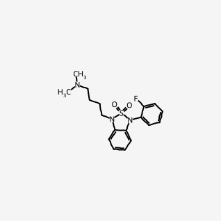 CN(C)CCCCN1c2ccccc2N(c2ccccc2F)S1(=O)=O